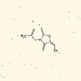 C/C=C1/SC(=S)N(CC(C)=O)C1=O